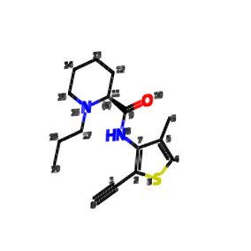 C#Cc1scc(C)c1NC(=O)[C@@H]1CCCCN1CCC